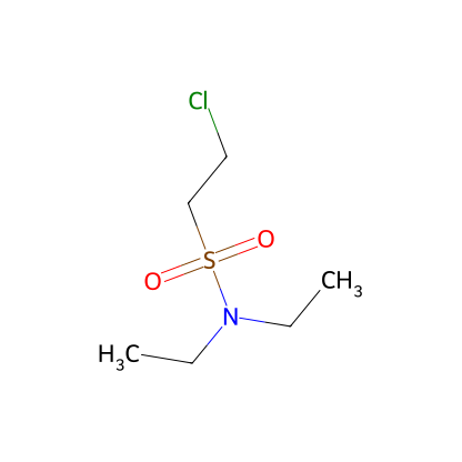 CCN(CC)S(=O)(=O)CCCl